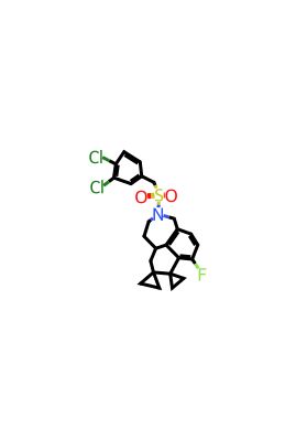 O=S(=O)(Cc1ccc(Cl)c(Cl)c1)N1CCC2CC3(CC3)C3(CC3)c3c(F)ccc(c32)C1